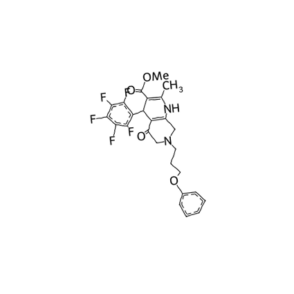 COC(=O)C1=C(C)NC2=C(C(=O)CN(CCCOc3ccccc3)C2)C1c1c(F)c(F)c(F)c(F)c1F